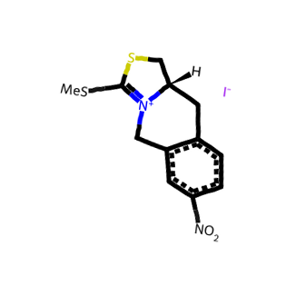 CSC1=[N+]2Cc3cc([N+](=O)[O-])ccc3C[C@H]2CS1.[I-]